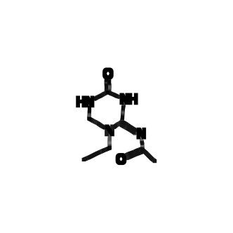 CCN1CNC(=O)NC1=NC(C)=O